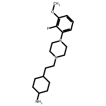 COc1cccc(N2CCN(CCC3CCC(N)CC3)CC2)c1F